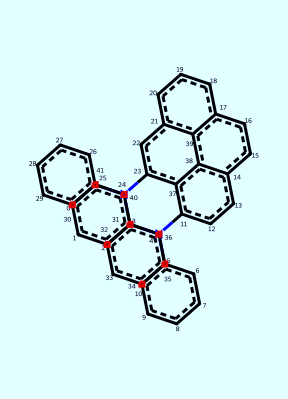 c1ccc(N(c2ccccc2)c2ccc3ccc4cccc5cc(N(c6ccccc6)c6ccccc6)c2c3c45)cc1